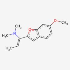 C/C=C(/c1cc2ccc(OC)cc2o1)N(C)C